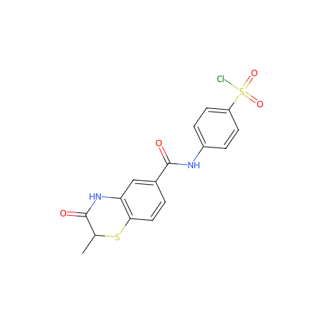 CC1Sc2ccc(C(=O)Nc3ccc(S(=O)(=O)Cl)cc3)cc2NC1=O